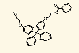 COCCOc1ccc(C2(c3ccc(OCCOC(=O)c4ccccc4)cc3)c3ccccc3-c3ccccc32)cc1